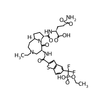 CCOP(=O)(O)C(F)(F)c1ccc2sc(C(=O)N[C@H]3CN(CC)CC[C@H]4CC[C@@H](C(=O)N[C@@H](CCS(N)(=O)=O)C(=O)O)N4C3=O)cc2c1